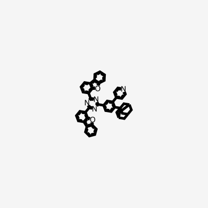 c1ccc2c(c1)oc1c(-c3nc(-c4ccc(C56CC7CC(CC(C7)C5)C6)c(-c5ccncc5)c4)nc(-c4cccc5c4oc4ccccc45)n3)cccc12